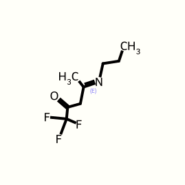 CCC/N=C(\C)CC(=O)C(F)(F)F